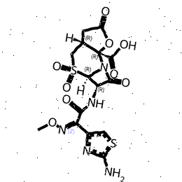 CO/N=C(\C(=O)N[C@@H]1C(=O)N2[C@@H]1S(=O)(=O)C[C@@H]1CC(=O)O[C@@]12C(=O)O)c1csc(N)n1